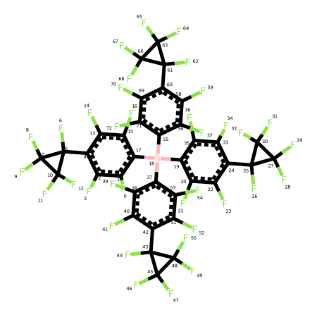 Fc1c(F)c(C2(F)C(F)(F)C2(F)F)c(F)c(F)c1[B-](c1c(F)c(F)c(C2(F)C(F)(F)C2(F)F)c(F)c1F)(c1c(F)c(F)c(C2(F)C(F)(F)C2(F)F)c(F)c1F)c1c(F)c(F)c(C2(F)C(F)(F)C2(F)F)c(F)c1F